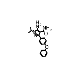 CC(C)n1nc(-c2ccc(Oc3ccccc3)cc2)c(C(N)=O)c1N